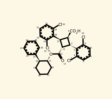 O=C(O)[C@H]1[C@H](c2c(Cl)cccc2Cl)[C@H](C(=O)O[C@@H]2CCCC[C@H]2c2ccccc2)[C@H]1c1c(Cl)cccc1Cl